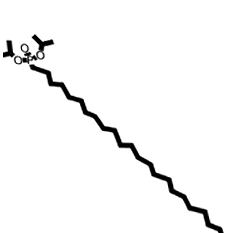 CCCCCCCCCCCCCCCCCCCCCCCCP(=O)(OC(C)C)OC(C)C